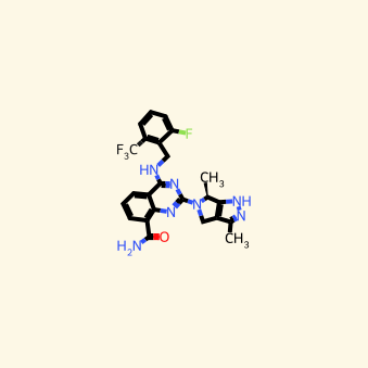 Cc1n[nH]c2c1CN(c1nc(NCc3c(F)cccc3C(F)(F)F)c3cccc(C(N)=O)c3n1)[C@H]2C